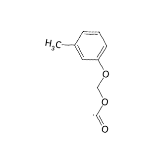 Cc1cccc(OCO[C]=O)c1